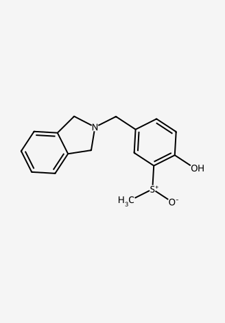 C[S+]([O-])c1cc(CN2Cc3ccccc3C2)ccc1O